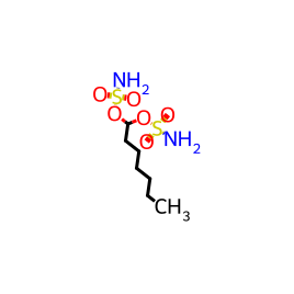 CCCCCCC(OS(N)(=O)=O)OS(N)(=O)=O